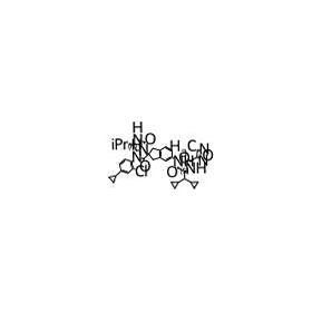 Cc1nonc1C(=O)N[C@H](C(=O)Nc1ccc2c(c1)CC(C(=O)Nc1ccc(C3CC3)cc1Cl)(N1C[C@@H](C(C)C)NC1=O)C2)C(C1CC1)C1CC1